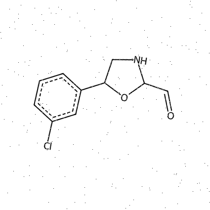 O=CC1NCC(c2cccc(Cl)c2)O1